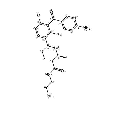 CC[C@@H](N[C@@H](C)CC(=O)NCCN)c1ccc(Cl)c(C(=O)c2ccc(N)nc2)c1F